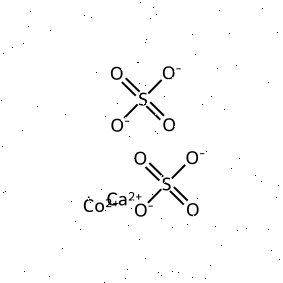 O=S(=O)([O-])[O-].O=S(=O)([O-])[O-].[Ca+2].[Co+2]